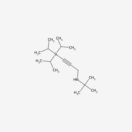 CC(C)[Si](C#CCNC(C)(C)C)(C(C)C)C(C)C